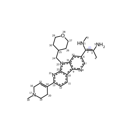 CN/C(=C(/C)N)c1cnc2c3ccc(C4=CCN(C)CC4)nc3n(CC3CCOCC3)c2c1